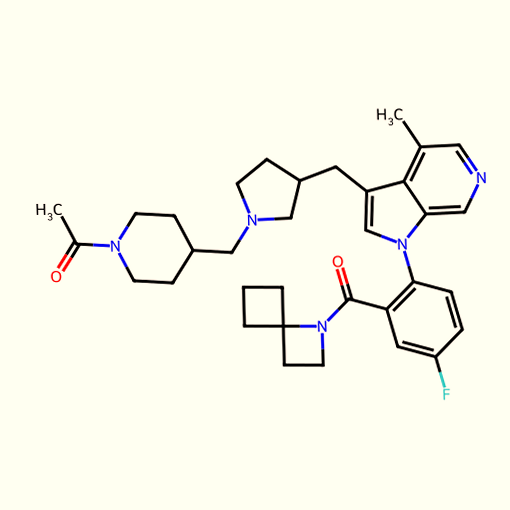 CC(=O)N1CCC(CN2CCC(Cc3cn(-c4ccc(F)cc4C(=O)N4CCC45CCC5)c4cncc(C)c34)C2)CC1